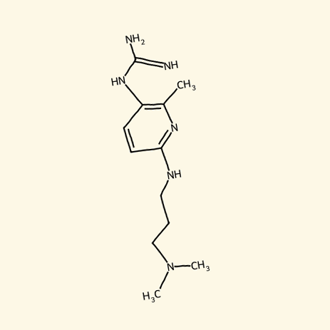 Cc1nc(NCCCN(C)C)ccc1NC(=N)N